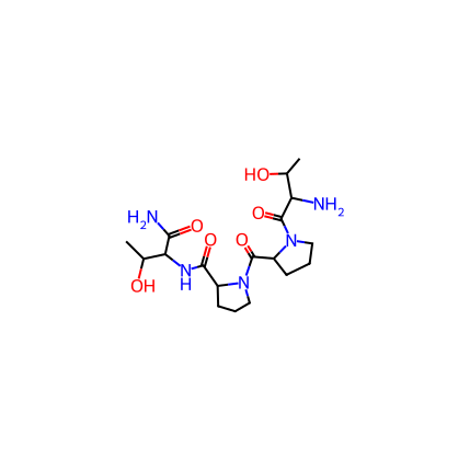 CC(O)C(N)C(=O)N1CCCC1C(=O)N1CCCC1C(=O)NC(C(N)=O)C(C)O